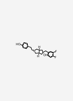 Oc1ccc(CCN2C[C@@H]3C[C@@](O)(Cc4ccc(F)c(F)c4)C[C@@H]3C2)cc1